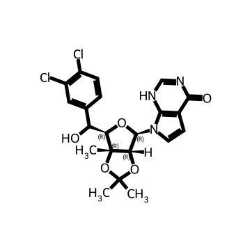 CC1(C)O[C@H]2[C@H](n3ccc4c(=O)nc[nH]c43)O[C@H](C(O)c3ccc(Cl)c(Cl)c3)[C@@]2(C)O1